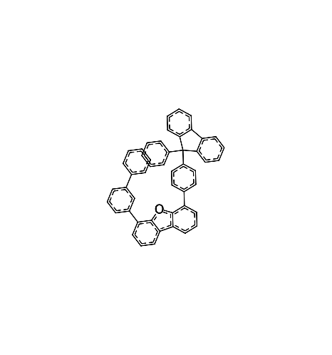 c1ccc(-c2cccc(-c3cccc4c3oc3c(-c5ccc(C6(c7ccccc7)c7ccccc7-c7ccccc76)cc5)cccc34)c2)cc1